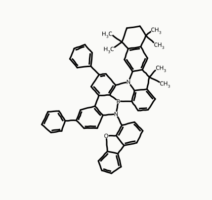 CC1(C)CCC(C)(C)c2cc3c(cc21)N1c2cc(-c4ccccc4)cc4c2B(c2cccc(c21)C3(C)C)N(c1cccc2c1oc1ccccc12)c1ccc(-c2ccccc2)cc1-4